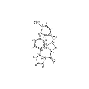 O=C(N1CC(Oc2ccc(Cl)cc2)C1)N1N=CCC1c1ccccc1